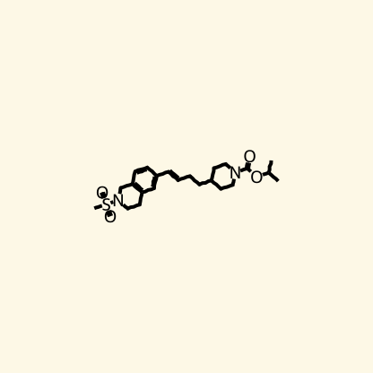 CC(C)OC(=O)N1CCC(CCC=Cc2ccc3c(c2)CCN(S(C)(=O)=O)C3)CC1